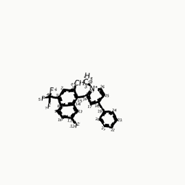 Cc1cc(C(F)(F)F)c2ccc(F)cc2c1-c1cc(-c2ccccc2)cc[n+]1C